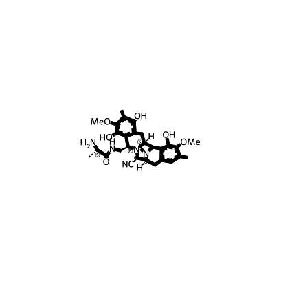 COc1c(C)cc2c(c1O)C1[C@@H]3Cc4c(O)c(C)c(OC)c(O)c4[C@H](CNC(=O)[C@H](C)N)N3[C@@H](C#N)[C@H](C2)N1C